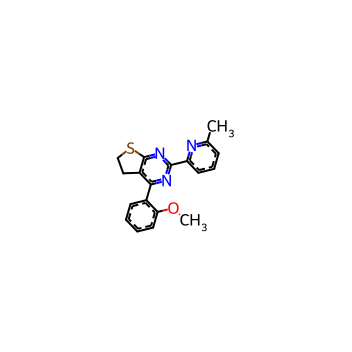 COc1ccccc1-c1nc(-c2cccc(C)n2)nc2c1CCS2